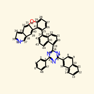 c1ccc(-c2nc(-c3ccc4ccccc4c3)nc(-c3cccc4c(-c5cccc6oc7cc8ccncc8cc7c56)cccc34)n2)cc1